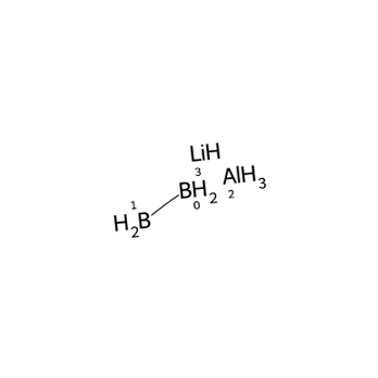 BB.[AlH3].[LiH]